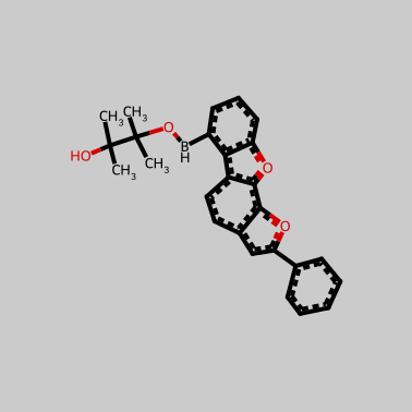 CC(C)(O)C(C)(C)OBc1cccc2oc3c(ccc4cc(-c5ccccc5)oc43)c12